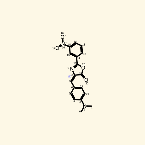 CN(C)c1ccc(/C=C2/N=C(c3cccc([N+](=O)[O-])c3)OC2=O)cc1